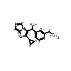 CCc1cccc(C(O)c2c(C3CC3)sc3cncn23)c1